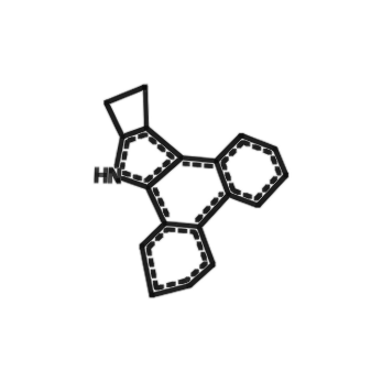 c1ccc2c(c1)c1ccccc1c1c3c([nH]c21)CC3